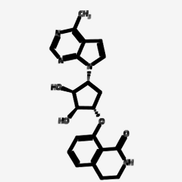 Cc1ncnc2c1ccn2[C@@H]1C[C@H](Oc2cccc3c2C(=O)NCC3)[C@@H](O)[C@H]1O